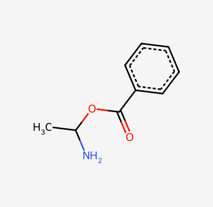 CC(N)OC(=O)c1ccccc1